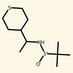 CC(N[S+]([O-])C(C)(C)C)C1CCSCC1